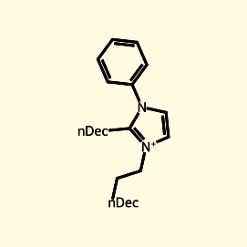 CCCCCCCCCCCC[n+]1ccn(-c2ccccc2)c1CCCCCCCCCC